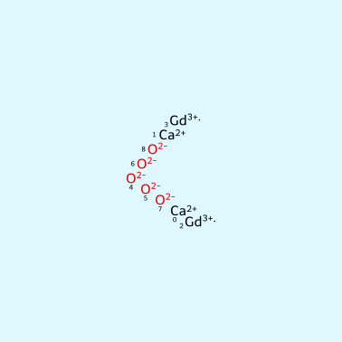 [Ca+2].[Ca+2].[Gd+3].[Gd+3].[O-2].[O-2].[O-2].[O-2].[O-2]